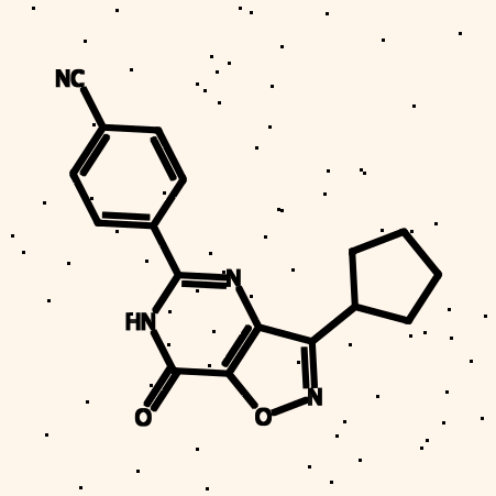 N#Cc1ccc(-c2nc3c(C4CCCC4)noc3c(=O)[nH]2)cc1